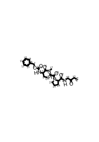 CC(C)CC(NC(=O)OCc1ccccc1)C(=O)N(C)CC(=O)N1CCCC1C(=O)NCC(=O)CF